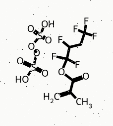 C=C(C)C(=O)OC(F)(F)C(F)CC(F)(F)F.O=S(=O)(O)OOS(=O)(=O)O